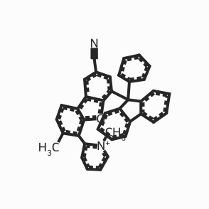 Cc1ccc2c(oc3c(C4(c5ccccc5)c5ccccc5-c5ccccc54)cc(C#N)cc32)c1-c1cccc[n+]1C